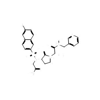 C[C@@H](C(=O)N(C)Cc1cccnc1)N1CC[C@H](N(CC(N)=O)S(=O)(=O)c2ccc3cc(Cl)ccc3c2)C1=O